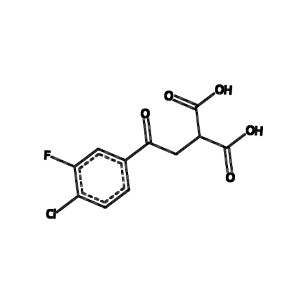 O=C(CC(C(=O)O)C(=O)O)c1ccc(Cl)c(F)c1